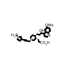 COc1ccc2nccc([C@H](O)CC[C@@H]3CCN(CC#Cc4ccn(C)c4)C[C@H]3CCC(=O)O)c2c1